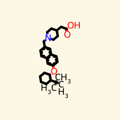 CC(C)(C)C1CCCCC1Oc1ccc2cc(CN3CCC(CC(=O)O)CC3)ccc2c1